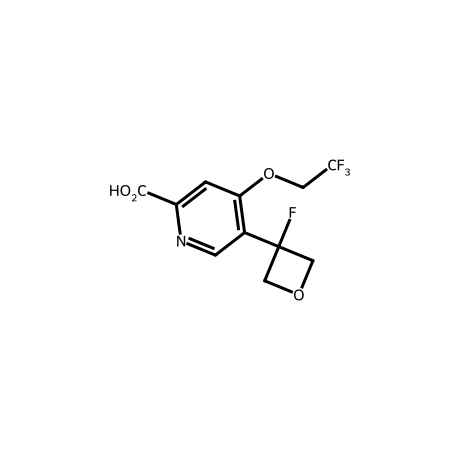 O=C(O)c1cc(OCC(F)(F)F)c(C2(F)COC2)cn1